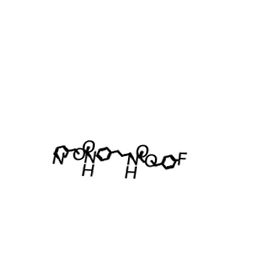 O=C(COCc1ccc(F)cc1)NCCCc1ccc(NC(=O)OCc2cccnc2)cc1